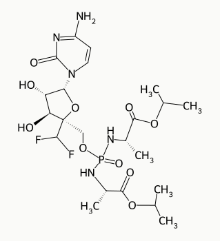 CC(C)OC(=O)[C@H](C)NP(=O)(N[C@@H](C)C(=O)OC(C)C)OC[C@@]1(C(F)F)O[C@@H](n2ccc(N)nc2=O)[C@@H](O)[C@@H]1O